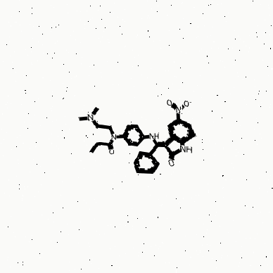 CCC(=O)N(CCN(C)C)c1ccc(NC(=C2C(=O)Nc3ccc([N+](=O)[O-])cc32)c2ccccc2)cc1